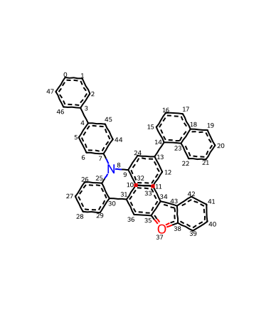 c1ccc(-c2ccc(N(c3cccc(-c4cccc5ccccc45)c3)c3ccccc3-c3ccc4c(c3)oc3ccccc34)cc2)cc1